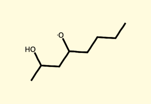 CCCCC([O])CC(C)O